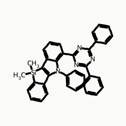 C[Si]1(C)c2ccccc2-c2c1c1cccc(-c3nc(-c4ccccc4)nc(-c4ccccc4)n3)c1n2-c1ccccc1